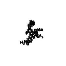 COc1nc(C)c2nc(-c3ccc(C(N)=O)nc3)n(Cc3ccc(OC[C@@H]4CN5CCC4CC5)cc3F)c2n1